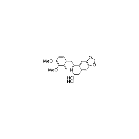 COc1ccc2cc3[n+](cc2c1OC)CCc1cc2c(cc1-3)OCO2.Cl.Cl